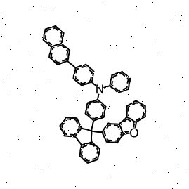 c1ccc(N(c2ccc(-c3ccc4ccccc4c3)cc2)c2ccc(C3(c4ccc5oc6ccccc6c5c4)c4ccccc4-c4ccccc43)cc2)cc1